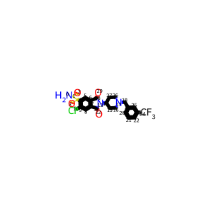 NS(=O)(=O)c1cc2c(cc1Cl)C(=O)N(C1CCN(Cc3cccc(C(F)(F)F)c3)CC1)C2=O